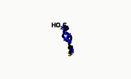 O=C(O)c1cccc(CN2CCCN3CCN(CCc4ccc(N=C=S)cc4)CCCN(CC3)CC2)n1